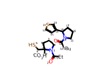 CCC(=O)N1CCCC1(CS)C(=O)O.CCCCC(=O)N1CCCC1c1ccsc1